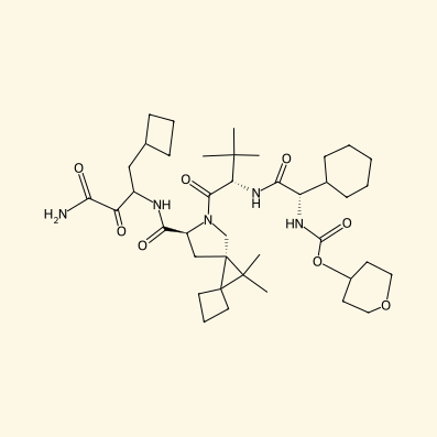 CC(C)(C)[C@H](NC(=O)[C@@H](NC(=O)OC1CCOCC1)C1CCCCC1)C(=O)N1C[C@]2(C[C@H]1C(=O)NC(CC1CCC1)C(=O)C(N)=O)C(C)(C)C21CCC1